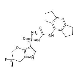 C[C@@]1(F)COc2c([S@](N)(=O)=NC(=O)Nc3c4c(cc5c3CCC5)CCC4)cnn2C1